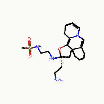 CS(=O)(=O)NCCN[C@]1(CCN)CC23CCCCC2=CN2C=CCCC2=C3O1